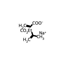 C=C(C)C(=O)OCC.C=CC(=O)[O-].[Na+]